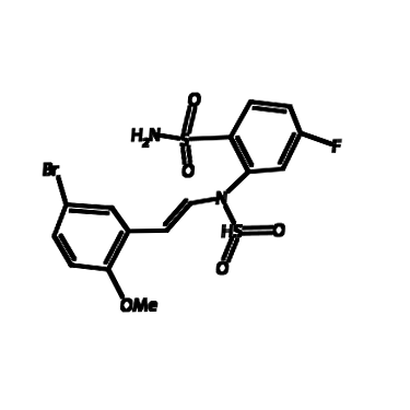 COc1ccc(Br)cc1C=CN(c1cc(F)ccc1S(N)(=O)=O)[SH](=O)=O